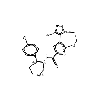 O=C(N[C@@H]1CNCC[C@H]1c1ccc(Cl)cc1)c1cc2c(s1)OCCn1ncc(Br)c1-2